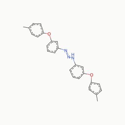 Cc1ccc(Oc2cccc(/N=N/Nc3cccc(Oc4ccc(C)cc4)c3)c2)cc1